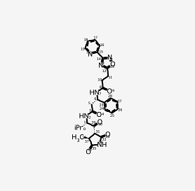 CC(C)[C@H](NC(=O)C[C@H](NC(=O)CCc1nc(-c2ccccn2)no1)c1ccccc1)C(=O)[C@@H]1C(=O)NC(=O)[C@H]1C